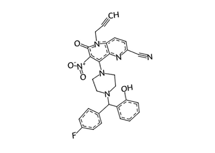 C#CCn1c(=O)c([N+](=O)[O-])c(N2CCN(C(c3ccc(F)cc3)c3ccccc3O)CC2)c2nc(C#N)ccc21